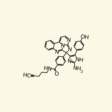 C#CCCCNC(=O)c1ccc(C2(c3nc(N)[nH]c3-c3ccc(O)cc3)N=C3N=CC=C4c5ccccc5N=C2N43)cc1